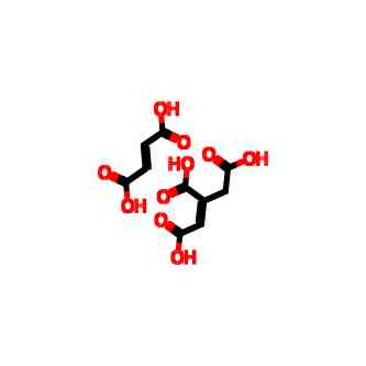 O=C(O)C=C(CC(=O)O)C(=O)O.O=C(O)C=CC(=O)O